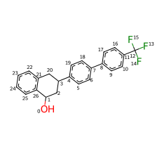 OC1CC(c2ccc(-c3ccc(C(F)(F)F)cc3)cc2)Cc2ccccc21